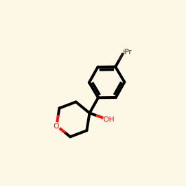 CC(C)c1ccc(C2(O)CCOCC2)cc1